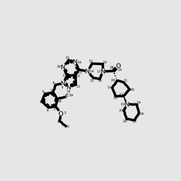 CCOc1cccc(Cn2ncc3c(N4CCN(C(=O)[C@H]5CC[C@H](N6CCCCC6)CC5)CC4)ncnc32)c1F